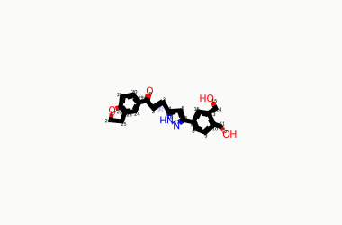 O=C(/C=C/c1cc(-c2ccc(CO)c(CO)c2)n[nH]1)c1ccc2c(c1)CCO2